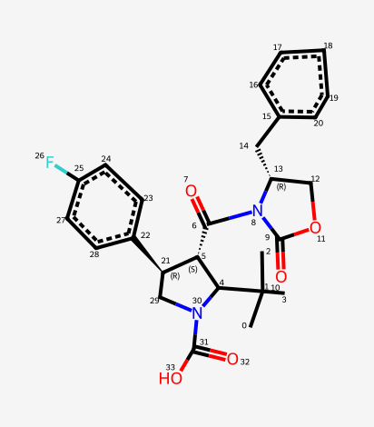 CC(C)(C)C1[C@@H](C(=O)N2C(=O)OC[C@H]2Cc2ccccc2)[C@H](c2ccc(F)cc2)CN1C(=O)O